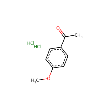 COc1ccc(C(C)=O)cc1.Cl.Cl